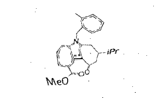 COC(=O)c1cccc2c1c1c(n2Cc2ccccc2C)CC(C(C)C)CC1=O